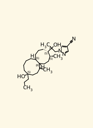 CCC[C@]1(O)CCCC[C@H]2CCC[C@H]([C@](C)(O)Cn3cc(C#N)cn3)[C@@H](C)CC[C@@H]2[C@@H](C)CC1